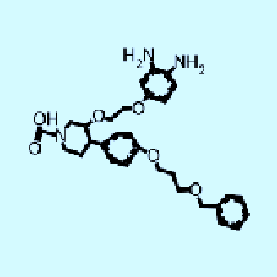 Nc1ccc(OCCOC2CN(C(=O)O)CCC2c2ccc(OCCCOCc3ccccc3)cc2)cc1N